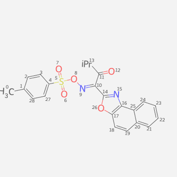 Cc1ccc(S(=O)(=O)O/N=C(\C(=O)C(C)C)c2nc3c(ccc4ccccc43)o2)cc1